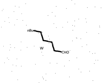 CCCCCCCCC=O.[W]